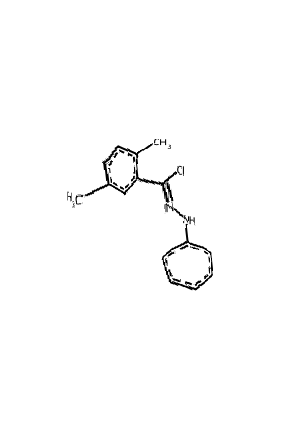 Cc1ccc(C)c(C(Cl)=NNc2ccccc2)c1